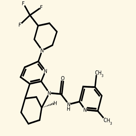 Cc1cc(C)nc(NC(=O)N2c3nc(N4CCCC(C(F)(F)F)C4)ccc3C3CCC[C@H]2C3)c1